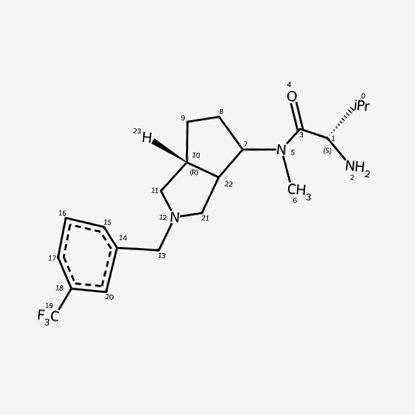 CC(C)[C@H](N)C(=O)N(C)C1CC[C@H]2CN(Cc3cccc(C(F)(F)F)c3)CC12